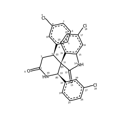 O=C1C[C@@H](c2cccc(Cl)c2)[C@]2(C(=O)Nc3cc(Cl)ccc32)[C@@H](c2cccc(Cl)c2)N1